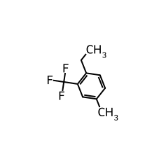 CCc1ccc(C)cc1C(F)(F)F